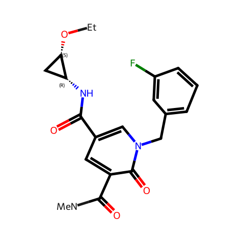 CCO[C@H]1C[C@H]1NC(=O)c1cc(C(=O)NC)c(=O)n(Cc2cccc(F)c2)c1